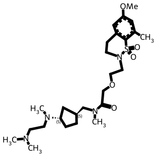 COc1cc(C)c2c(c1)CCN(CCOCC(=O)N(C)C[C@H]1CC[C@H](N(C)CCN(C)C)C1)S2(=O)=O